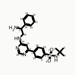 CC(C)(C)NS(=O)(=O)c1ccc(-c2cc(NCC(N)c3ccccc3)ncn2)cc1